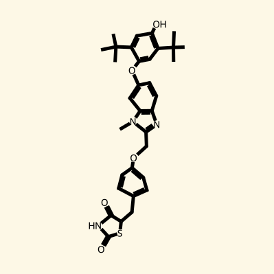 Cn1c(COc2ccc(CC3SC(=O)NC3=O)cc2)nc2ccc(Oc3cc(C(C)(C)C)c(O)cc3C(C)(C)C)cc21